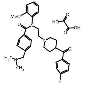 COc1ccccc1N(CCN1CCC(C(=O)c2ccc(F)cc2)CC1)C(=O)c1ccc(CN(C)C)cc1.O=C(O)C(=O)O